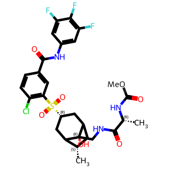 COC(=O)N[C@H](C)C(=O)NC[C@@]1(O)C2C[C@@H](S(=O)(=O)c3cc(C(=O)Nc4cc(F)c(F)c(F)c4)ccc3Cl)CC1[C@@H](C)C2